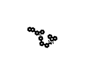 c1cc(-c2ccc(-n3c4ccccc4c4cc(-c5ccc6ccccc6c5)ccc43)cc2)cc(-c2cccc(-c3cnc4c5ccccc5c5ccccc5c4n3)c2)c1